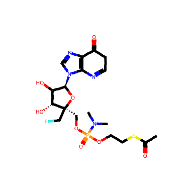 CC(=O)SCCOP(=O)(OC[C@@]1(CF)O[C@H](n2cnc3c2N=CCC3=O)C(O)[C@H]1O)N(C)C